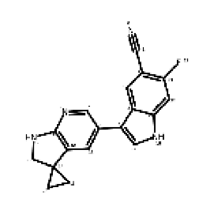 N#Cc1cc2c(-c3cnc4c(c3)C3(CC3)CN4)c[nH]c2cc1F